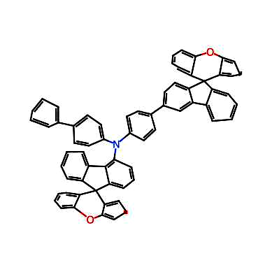 c1ccc(-c2ccc(N(c3ccc(-c4ccc5c(c4)-c4ccccc4C54c5ccccc5Oc5ccccc54)cc3)c3cccc4c3-c3ccccc3C43c4ccccc4Oc4ccccc43)cc2)cc1